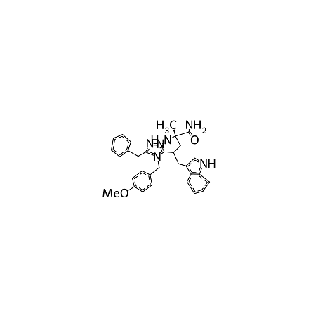 COc1ccc(Cn2c(Cc3ccccc3)nnc2C(Cc2c[nH]c3ccccc23)C[C@](C)(N)C(N)=O)cc1